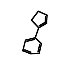 C1=CCCC=1c1ccccc1